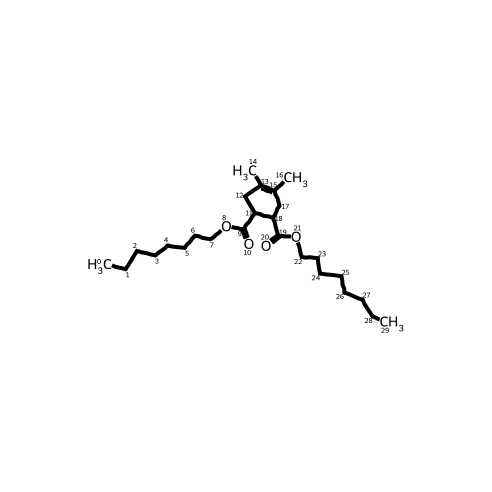 CCCCCCCCOC(=O)C1CC(C)=C(C)CC1C(=O)OCCCCCCCC